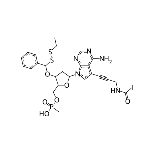 CCSSC(OC1CC(n2cc(C#CCNC(=O)I)c3c(N)ncnc32)OC1COP(C)(=O)O)c1ccccc1